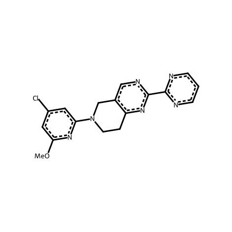 COc1cc(Cl)cc(N2CCc3nc(-c4ncccn4)ncc3C2)n1